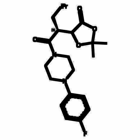 CC(C)C[C@H](C(=O)N1CCN(c2ccc(F)cc2)CC1)C1OC(C)(C)OC1=O